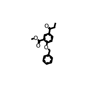 CCC(=O)c1ccc(OCc2ccccc2)c(C(=O)OC)c1